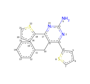 Nc1nc(-c2cccs2)c(Cc2ccccc2)c(-c2cccs2)n1